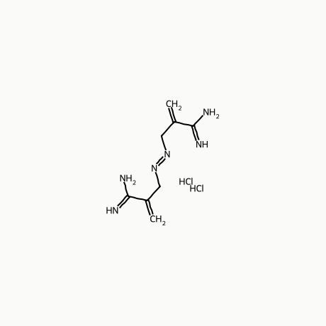 C=C(CN=NCC(=C)C(=N)N)C(=N)N.Cl.Cl